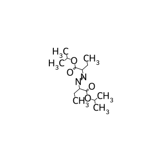 CCC(/N=N/C(CC)C(=O)OC(C)C)C(=O)OC(C)C